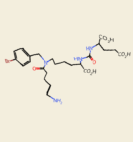 NCCCCC(=O)N(CCCCC(NC(=O)NC(CCC(=O)O)C(=O)O)C(=O)O)Cc1ccc(Br)cc1